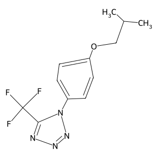 CC(C)COc1ccc(-n2nnnc2C(F)(F)F)cc1